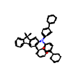 CC1(C)c2ccccc2-c2cc(-c3ccccc3)c(N(c3ccc(C4CCCCC4)cc3)c3ccc(C4CCCCC4)cc3)cc21